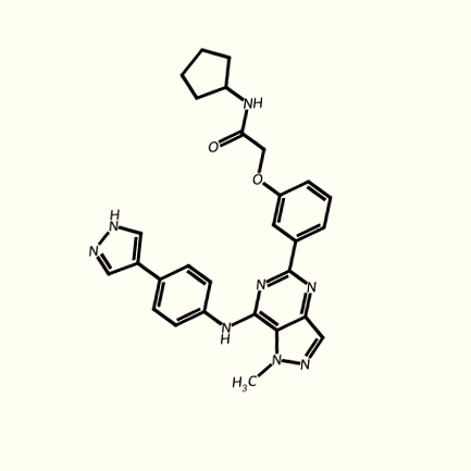 Cn1ncc2nc(-c3cccc(OCC(=O)NC4CCCC4)c3)nc(Nc3ccc(-c4cn[nH]c4)cc3)c21